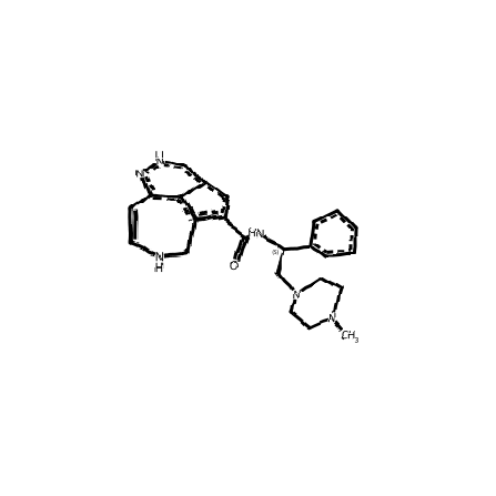 CN1CCN(C[C@@H](NC(=O)c2cc3c[nH]nc4c-3c2CNC=C4)c2ccccc2)CC1